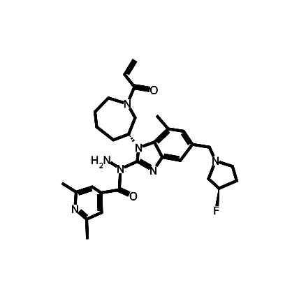 C=CC(=O)N1CCCC[C@@H](n2c(N(N)C(=O)c3cc(C)nc(C)c3)nc3cc(CN4CC[C@@H](F)C4)cc(C)c32)C1